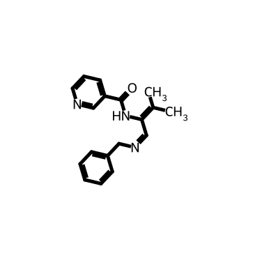 CC(C)=C(/C=N\Cc1ccccc1)NC(=O)c1cccnc1